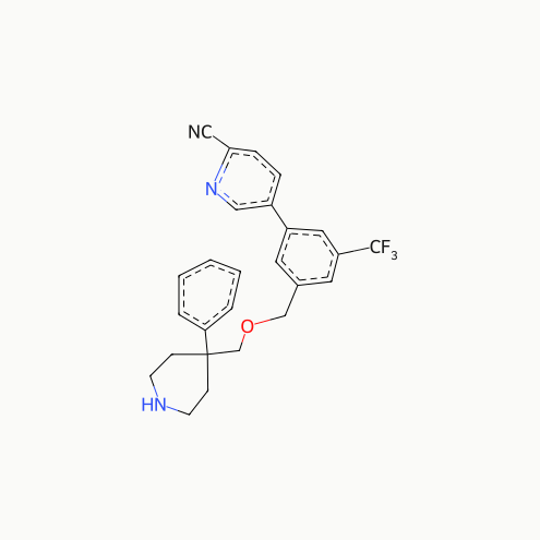 N#Cc1ccc(-c2cc(COCC3(c4ccccc4)CCNCC3)cc(C(F)(F)F)c2)cn1